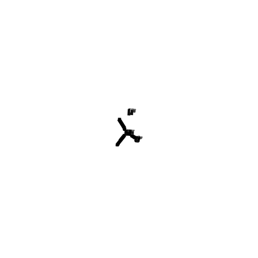 C[SiH](C)[O-].[Li+]